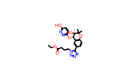 CCOC(=O)CCCn1nnnc1-c1ccc2c(c1)[C@H](Oc1ccc(O)nn1)[C@@](C)(O)C(C)(C)O2